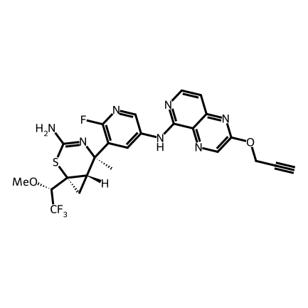 C#CCOc1cnc2c(Nc3cnc(F)c([C@]4(C)N=C(N)S[C@@]5([C@@H](OC)C(F)(F)F)C[C@H]54)c3)nccc2n1